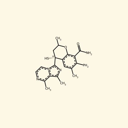 Cc1cc2c(c(C(N)=O)c1P)OC(C)C[C@]2(S)c1nc(C)c2c(C)nccn12